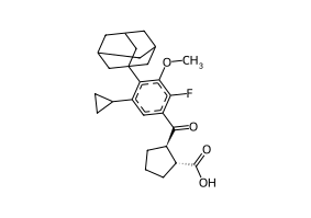 COc1c(F)c(C(=O)[C@@H]2CCC[C@H]2C(=O)O)cc(C2CC2)c1C12CC3CC(CC(C3)C1)C2